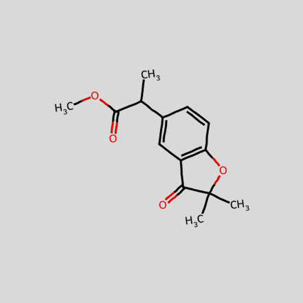 COC(=O)C(C)c1ccc2c(c1)C(=O)C(C)(C)O2